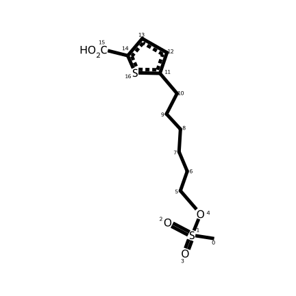 CS(=O)(=O)OCCCCCCc1ccc(C(=O)O)s1